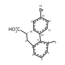 Cc1cccc(CCC(=O)O)c1-c1ccc(Br)cc1